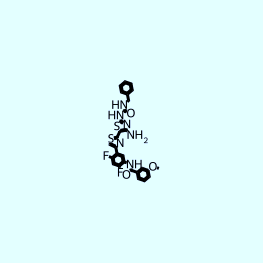 COc1cccc(C(=O)Nc2cc(-c3csc(-c4sc(NC(=O)NCc5ccccc5)nc4N)n3)c(F)cc2F)c1